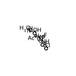 CC(=O)c1cn(CC(=O)N2C[C@H](F)CC2C(=O)Nc2cccc(-c3ccccc3Cl)c2F)c2cc(O)c(-c3cnc(C)nc3)cc12